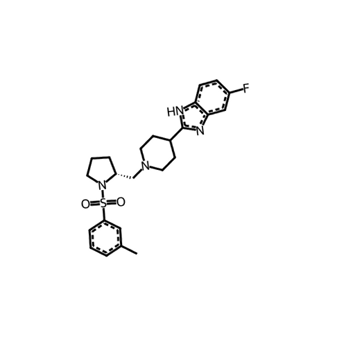 Cc1cccc(S(=O)(=O)N2CCC[C@@H]2CN2CCC(c3nc4cc(F)ccc4[nH]3)CC2)c1